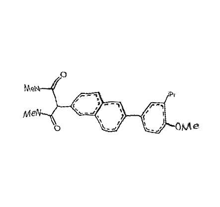 CNC(=O)C(C(=O)NC)c1ccc2cc(-c3ccc(OC)c(C(C)C)c3)ccc2c1